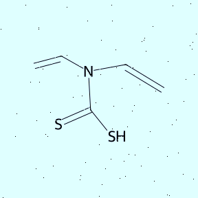 C=CN(C=C)C(=S)S